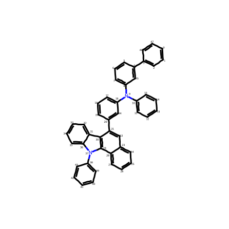 c1ccc(-c2cccc(N(c3ccccc3)c3cccc(-c4cc5ccccc5c5c4c4ccccc4n5-c4ccccc4)c3)c2)cc1